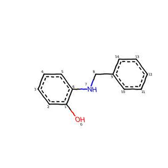 Oc1ccccc1NCc1ccccc1